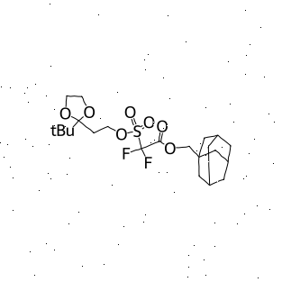 CC(C)(C)C1(CCOS(=O)(=O)C(F)(F)C(=O)OCC23CC4CC(CC(C4)C2)C3)OCCO1